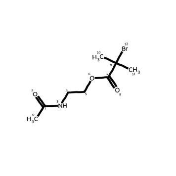 CC(=O)NCCOC(=O)C(C)(C)Br